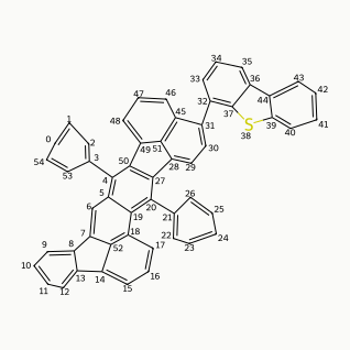 c1ccc(-c2c3cc4c5ccccc5c5cccc(c3c(-c3ccccc3)c3c6ccc(-c7cccc8c7sc7ccccc78)c7cccc(c23)c76)c54)cc1